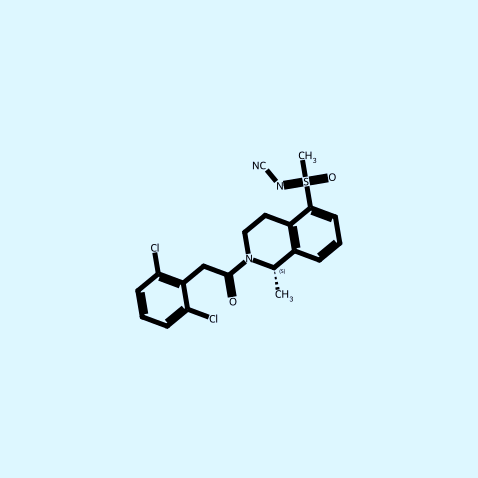 C[C@H]1c2cccc(S(C)(=O)=NC#N)c2CCN1C(=O)Cc1c(Cl)cccc1Cl